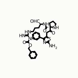 N=C(NCCC[C@@H](C=O)NC(=O)[C@]1(C(=O)Cc2sc(N)nc2-c2ccccc2)CCCN1)NC(=O)OCc1ccccc1